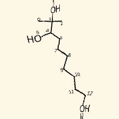 CC(C)(O)C(O)CCCCCCCO